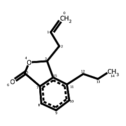 C=CCC1OC(=O)c2cccc(CCC)c21